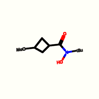 COC1CC(C(=O)N(O)C(C)(C)C)C1